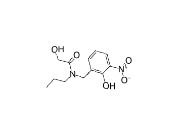 CCCN(Cc1cccc([N+](=O)[O-])c1O)C(=O)CO